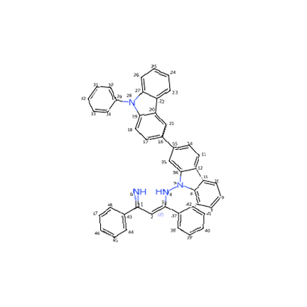 N=C(/C=C(\Nn1c2ccccc2c2ccc(-c3ccc4c(c3)c3ccccc3n4-c3ccccc3)cc21)c1ccccc1)c1ccccc1